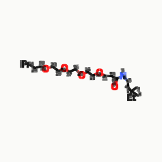 CCC(C)(C)CCN(C)C(=O)CCOCCOCCOCCOCCC(C)C